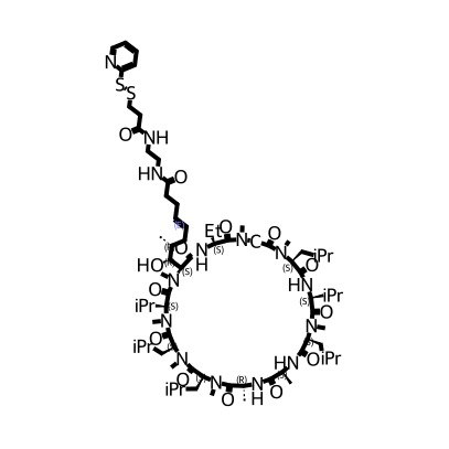 CC[C@@H]1NC(=O)[C@H]([C@H](O)[C@H](C)C/C=C/CCC(=O)NCCNC(=O)CCSSc2ccccn2)N(C)C(=O)[C@H](C(C)C)N(C)C(=O)[C@H](CC(C)C)N(C)C(=O)[C@H](CC(C)C)N(C)C(=O)[C@@H](C)NC(=O)[C@H](C)NC(=O)[C@H](CC(C)C)N(C)C(=O)[C@H](C(C)C)NC(=O)[C@H](CC(C)C)N(C)C(=O)CN(C)C1=O